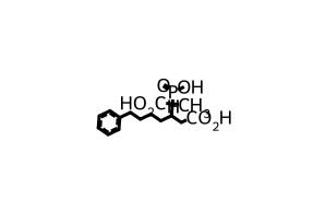 CC(C(=O)O)(C(CCCCc1ccccc1)CC(=O)O)[PH](=O)O